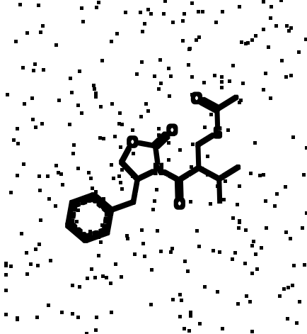 CC(=O)SCC(C(=O)N1C(=O)OCC1Cc1ccccc1)C(C)C